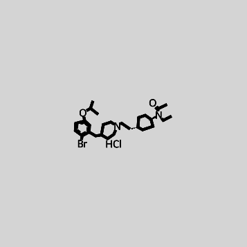 CCN(C(C)=O)[C@H]1CC[C@H](CCN2CCC(Cc3cc(OC(C)C)ccc3Br)CC2)CC1.Cl